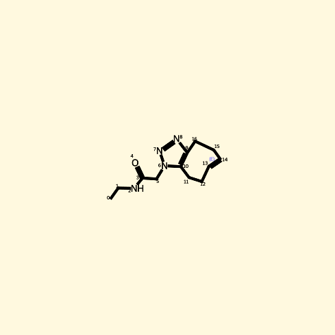 CCNC(=O)Cn1nnc2c1CC/C=C/CC2